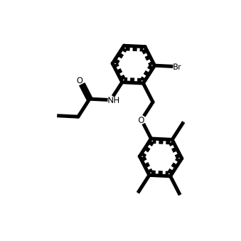 CCC(=O)Nc1cccc(Br)c1COc1cc(C)c(C)cc1C